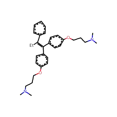 CCC(=C(c1ccc(OCCCN(C)C)cc1)c1ccc(OCCCN(C)C)cc1)c1ccccc1